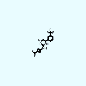 COCC(NC(=O)NC12CC(C(F)F)(C1)C2)c1cccc(C(F)(F)F)c1